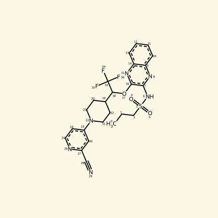 CCCS(=O)(=O)Nc1nc2ccccc2nc1OC(C1CCN(c2ccnc(C#N)c2)CC1)C(F)(F)F